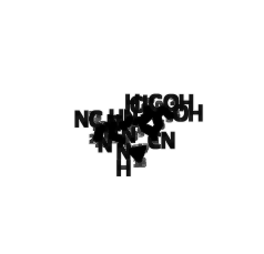 CC(O)(CO)c1cc(C#N)cc(Nc2nc(NC3CC3)c3ncc(C#N)n3n2)c1Cl